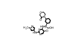 Cn1cc(Nc2ncc(Cl)c(N[C@H](CO)c3cccc(N4CCOCC4=O)c3)n2)cn1